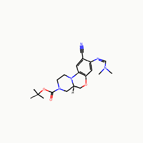 CN(C)/C=N\c1cc2c(cc1C#N)N1CCN(C(=O)OC(C)(C)C)C[C@H]1CO2